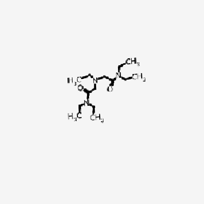 CCN(CC(=O)N(CC)CC)CC(=O)N(CC)CC